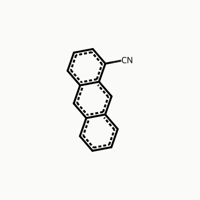 N#Cc1cccc2cc3ccccc3cc12